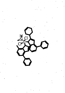 CC1=Cc2c(-c3ccccc3)ccc(C)c2[CH]1[Zr]([Cl])([Cl])([CH]1C(C2CC=CCC2)=Cc2c(-c3ccccc3)cccc21)[SiH](C)C